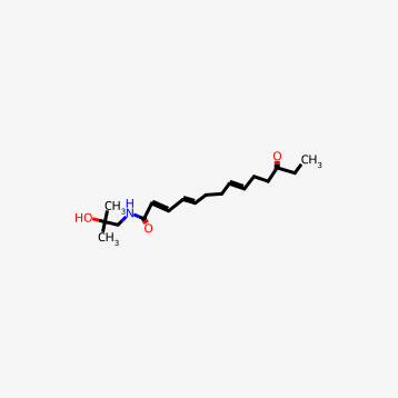 CCC(=O)CCC=CCCC=CC=CC(=O)NCC(C)(C)O